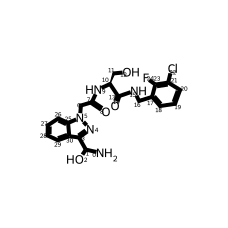 NC(O)c1nn(CC(=O)N[C@@H](CO)C(=O)NCc2cccc(Cl)c2F)c2ccccc12